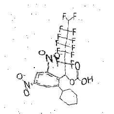 O=C(O)OC(c1c(C2CCCCC2)cc([N+](=O)[O-])cc1[N+](=O)[O-])C(F)(F)C(F)(F)C(F)(F)C(F)(F)C(F)(F)C(F)F